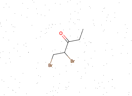 CCC(=O)C(Br)CBr